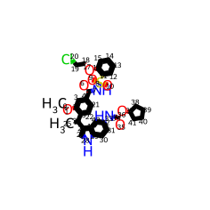 COc1cc(C(=O)NS(=O)(=O)c2ccccc2OCCCl)ccc1C(C)c1c[nH]c2ccc(NC(=O)OC3CCCC3)cc12